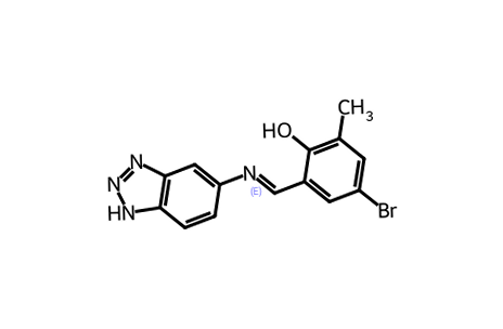 Cc1cc(Br)cc(/C=N/c2ccc3[nH]nnc3c2)c1O